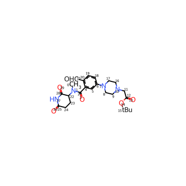 CN(C(=O)c1cc(N2CCN(CC(=O)OC(C)(C)C)CC2)ccc1C=O)C1CCC(=O)NC1=O